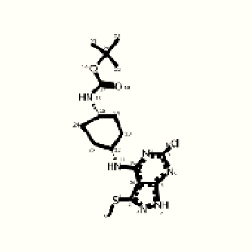 CSc1n[nH]c2nc(Cl)nc(N[C@H]3CC[C@@H](NC(=O)OC(C)(C)C)CC3)c12